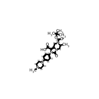 CC1Cn2c(c(C(=O)O)n(-c3ccc(N4CCN(C)CC4)cc3)c2=O)CN1C(=O)OC(C)(C)C